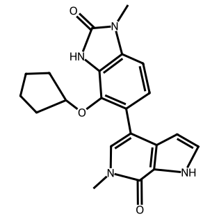 Cn1cc(-c2ccc3c([nH]c(=O)n3C)c2OC2CCCC2)c2cc[nH]c2c1=O